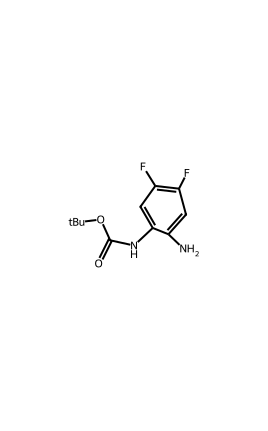 CC(C)(C)OC(=O)Nc1cc(F)c(F)cc1N